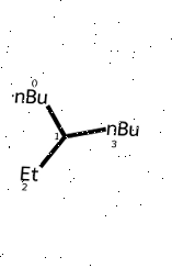 CCC[CH]C(CC)CCCC